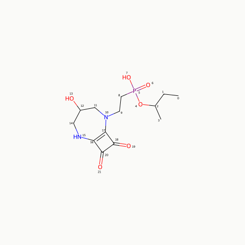 CCC(C)OP(=O)(O)CCN1CC(O)CNc2c1c(=O)c2=O